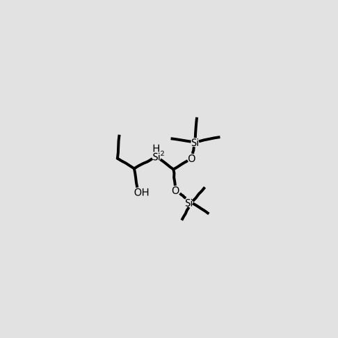 CCC(O)[SiH2]C(O[Si](C)(C)C)O[Si](C)(C)C